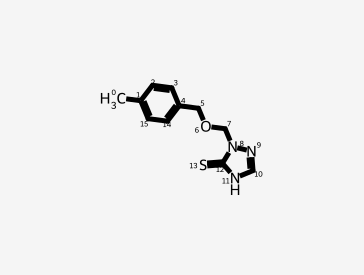 Cc1ccc(COCn2nc[nH]c2=S)cc1